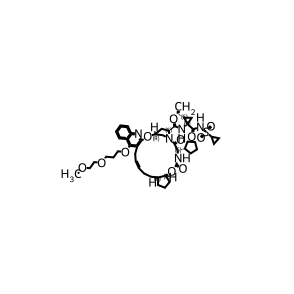 C=C[C@@H]1C[C@]1(NC(=O)[C@@H]1C[C@@H]2CN1C(=O)[C@H](C1CCCC1)NC(=O)O[C@@H]1CCC[C@H]1CCC=CCc1c(nc3ccccc3c1OCCCOCCOC)O2)C(=O)NS(=O)(=O)C1CC1